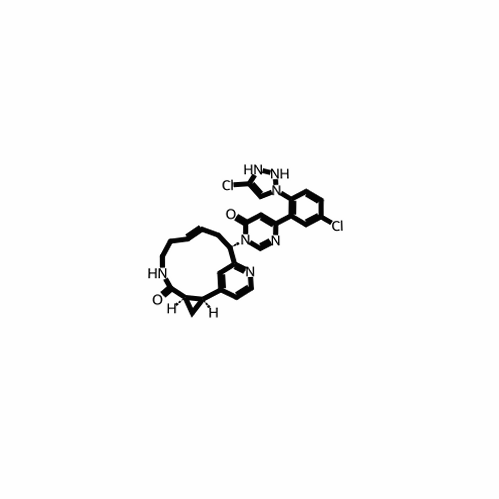 O=C1NCC/C=C/C[C@H](n2cnc(-c3cc(Cl)ccc3N3C=C(Cl)NN3)cc2=O)c2cc(ccn2)[C@H]2C[C@@H]12